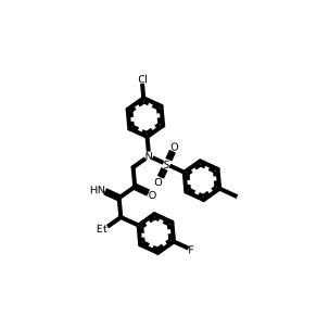 CCC(C(=N)C(=O)CN(c1ccc(Cl)cc1)S(=O)(=O)c1ccc(C)cc1)c1ccc(F)cc1